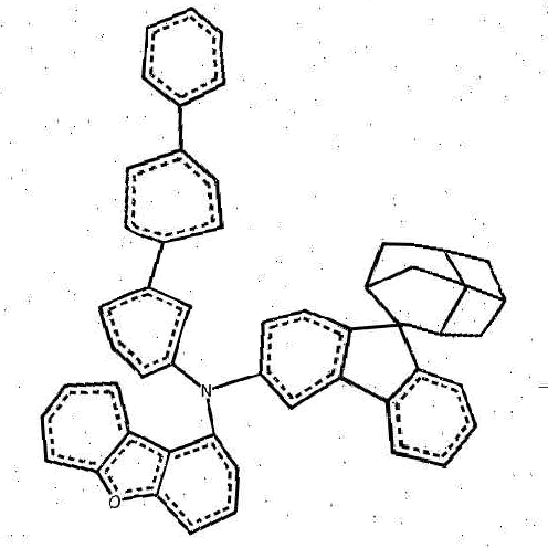 c1ccc(-c2ccc(-c3cccc(N(c4ccc5c(c4)-c4ccccc4C54C5CC6CC(C5)CC4C6)c4cccc5oc6ccccc6c45)c3)cc2)cc1